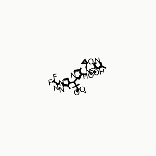 COC(=O)C(C)(C)C(c1cc(CN2CC3(CC3)Oc3ncc(C)cc3S2(O)O)c(C)cn1)c1ccn2c(C(F)F)nnc2c1C